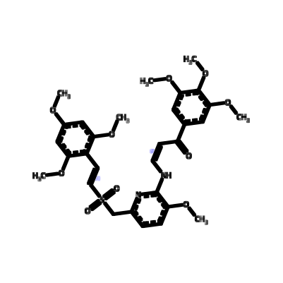 COc1cc(OC)c(/C=C/S(=O)(=O)Cc2ccc(OC)c(N/C=C\C(=O)c3cc(OC)c(OC)c(OC)c3)n2)c(OC)c1